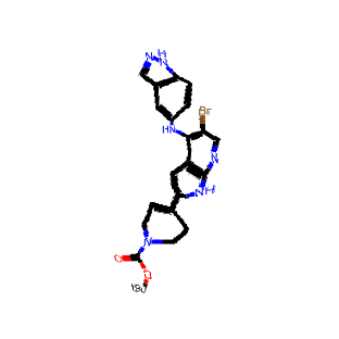 CC(C)(C)OC(=O)N1CC=C(c2cc3c(Nc4ccc5[nH]ncc5c4)c(Br)cnc3[nH]2)CC1